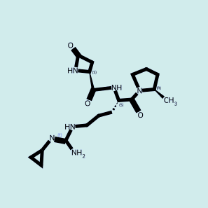 C[C@@H]1CCCN1C(=O)[C@H](CCCN/C(N)=N/C1CC1)NC(=O)[C@@H]1CC(=O)N1